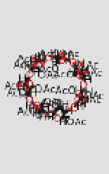 CC(=O)OC[C@H]1O[C@@H]2O[C@H]3[C@@H](OC(C)=O)[C@H](OC(C)=O)[C@@H](O[C@H]4[C@@H](OC(C)=O)[C@H](OC(C)=O)[C@@H](O[C@H]5[C@@H](OC(C)=O)[C@H](OC(C)=O)[C@@H](O[C@H]6[C@@H](OC(C)=O)[C@H](OC(C)=O)[C@@H](O[C@H]7[C@@H](OC(C)=O)[C@H](OC(C)=O)[C@@H](O[C@H]8[C@@H](OC(C)=O)[C@H](OC(C)=O)[C@@H](O[C@H]1[C@@H](OC(C)=O)[C@@H]2OC(C)=O)O[C@@H]8COC(C)=O)O[C@@H]7COC(C)=O)O[C@@H]6COC(C)=O)O[C@@H]5COC(C)=O)O[C@@H]4COC(C)=O)O[C@@H]3COC(C)=O